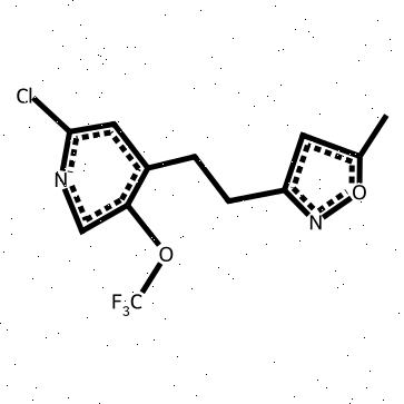 Cc1cc(CCc2cc(Cl)ncc2OC(F)(F)F)no1